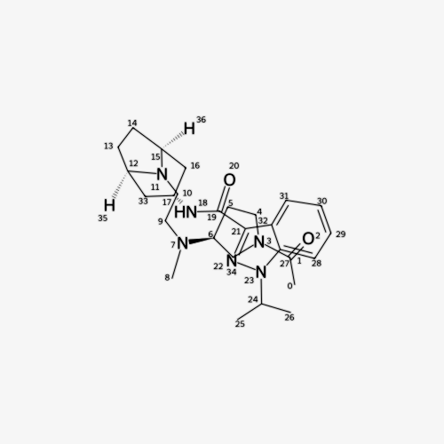 CC(=O)N1CC[C@H](N(C)CCN2[C@@H]3CC[C@H]2C[C@H](NC(=O)c2nn(C(C)C)c4ccccc24)C3)C1